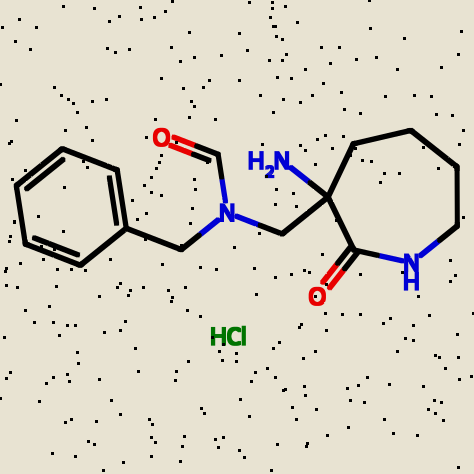 Cl.NC1(CN(C=O)Cc2ccccc2)CCCCNC1=O